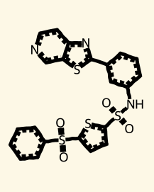 O=S(=O)(Nc1cccc(-c2nc3ccncc3s2)c1)c1ccc(S(=O)(=O)c2ccccc2)s1